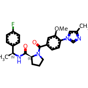 COc1cc(C(=O)N2CCC[C@H]2C(=O)N[C@@H](C)c2ccc(F)cc2)ccc1-n1cnc(C)c1